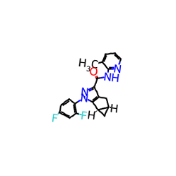 Cc1cccnc1NC(=O)c1nn(-c2ccc(F)cc2F)c2c1C[C@H]1C[C@@H]21